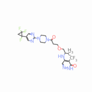 CC(COCCC(=O)N1CCN(c2ncc(C3(F)CC3(F)F)cn2)CC1)Nc1cn[nH]c(=O)c1C(F)(F)F